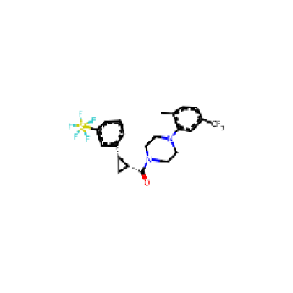 Cc1ccc(C(F)(F)F)cc1N1CCN(C(=O)[C@@H]2C[C@@H]2c2cccc(S(F)(F)(F)(F)F)c2)CC1